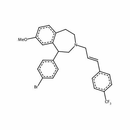 COc1ccc2c(c1)C(c1ccc(Br)cc1)CN(CC=Cc1ccc(C(F)(F)F)cc1)CC2